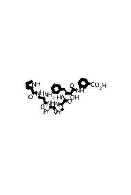 CC(C)C[C@H](NC(=O)[C@@H](NC(=O)[C@@H](N)CNC(=O)c1ccc[nH]1)C(C)C)C(=O)N[C@@H](Cc1ccccc1)[C@@H](O)C(=O)Nc1cccc(C(=O)O)c1